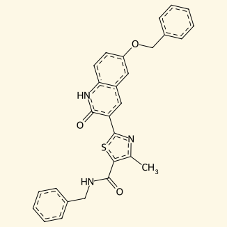 Cc1nc(-c2cc3cc(OCc4ccccc4)ccc3[nH]c2=O)sc1C(=O)NCc1ccccc1